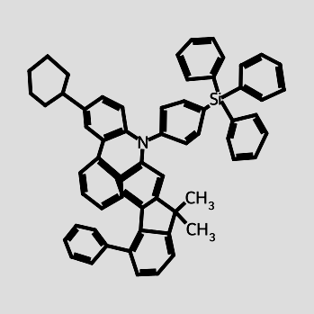 CC1(C)c2cc(N(c3ccc([Si](c4ccccc4)(c4ccccc4)c4ccccc4)cc3)c3ccc(C4CCCCC4)cc3-c3ccccc3)ccc2-c2c(-c3ccccc3)cccc21